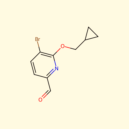 O=Cc1ccc(Br)c(OCC2CC2)n1